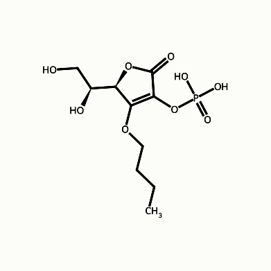 CCCCOC1=C(OP(=O)(O)O)C(=O)O[C@@H]1[C@@H](O)CO